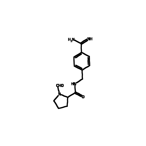 N=C(N)c1ccc(CNC(=O)C2CCCN2C=O)cc1